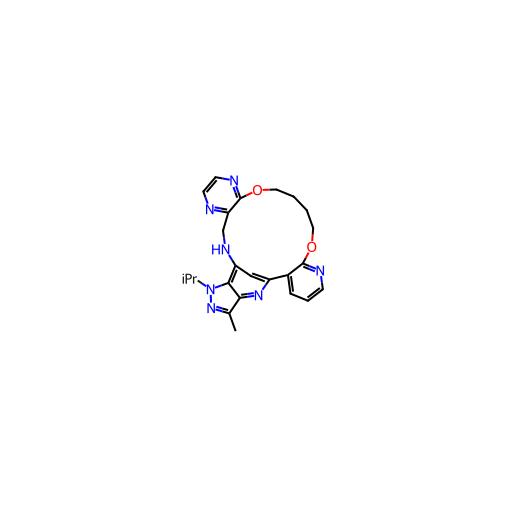 Cc1nn(C(C)C)c2c3cc(nc12)-c1cccnc1OCCCCOc1nccnc1CN3